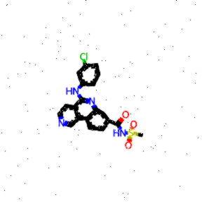 CS(=O)(=O)NC(=O)c1ccc2c(c1)nc(Nc1cccc(Cl)c1)c1ccncc12